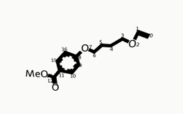 C=COCCCCOc1ccc(C(=O)OC)cc1